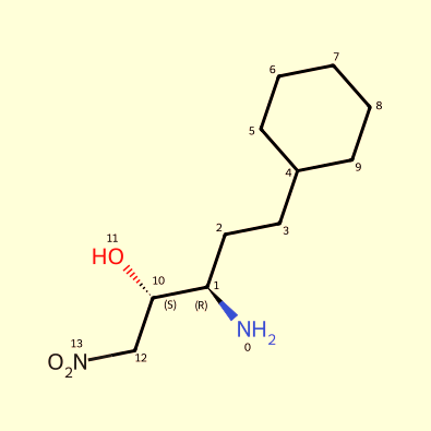 N[C@H](CCC1CCCCC1)[C@@H](O)C[N+](=O)[O-]